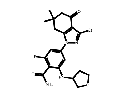 CCc1nn(-c2cc(F)c(C(N)=O)c(NC3CCOC3)c2)c2c1C(=O)CC(C)(C)C2